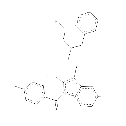 Cc1ccc2c(c1)c(CCN(COC=O)Cc1ccccn1)c(C)n2C(=O)c1ccc(Cl)cc1